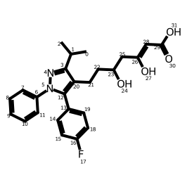 CC(C)c1nn(-c2ccccc2)c(-c2ccc(F)cc2)c1CCC(O)CC(O)=CC(=O)O